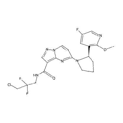 COc1ncc(F)cc1[C@H]1CCCN1c1ccn2ncc(C(=O)NCC(F)(F)CCl)c2n1